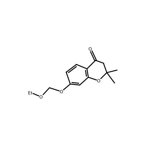 CCOCOc1ccc2c(c1)OC(C)(C)CC2=O